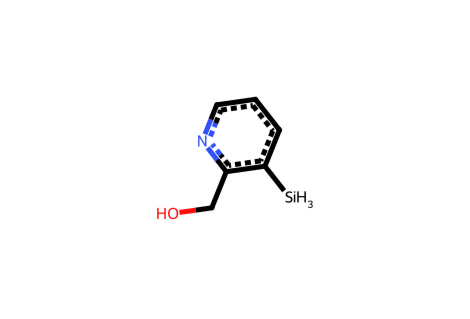 OCc1ncccc1[SiH3]